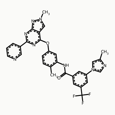 Cc1cn(-c2cc(C(=O)Nc3cc(Oc4nc(-c5cccnc5)nc5nn(C)cc45)ccc3C)cc(C(F)(F)F)c2)cn1